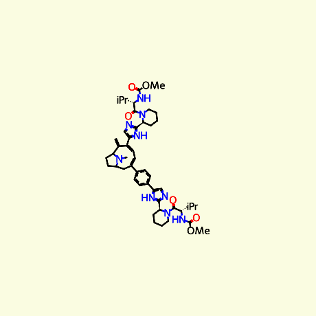 C=C1/C(c2cnc([C@@H]3CCCCN3C(=O)[C@@H](NC(=O)OC)C(C)C)[nH]2)=C\C=C(\c2ccc(-c3cnc([C@@H]4CCCCN4C(=O)[C@@H](NC(=O)OC)C(C)C)[nH]3)cc2)CC2CCC1N2C